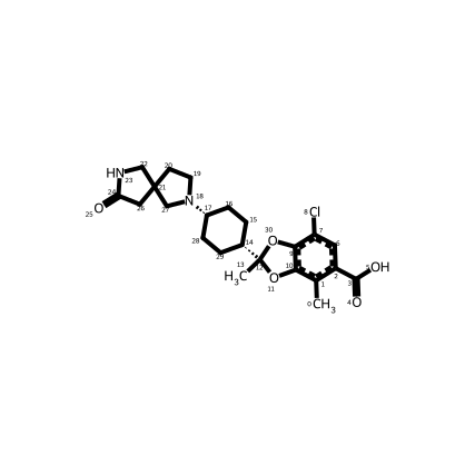 Cc1c(C(=O)O)cc(Cl)c2c1OC(C)([C@H]1CC[C@@H](N3CCC4(CNC(=O)C4)C3)CC1)O2